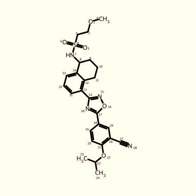 COCCS(=O)(=O)NC1CCCc2c(-c3noc(-c4ccc(OC(C)C)c(C#N)c4)n3)cccc21